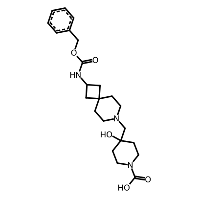 O=C(NC1CC2(CCN(CC3(O)CCN(C(=O)O)CC3)CC2)C1)OCc1ccccc1